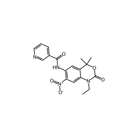 CCN1C(=O)OC(C)(C)c2cc(NC(=O)c3cccnc3)c([N+](=O)[O-])cc21